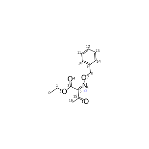 CCOC(=O)/C(=N\OCc1ccccc1)C(C)=O